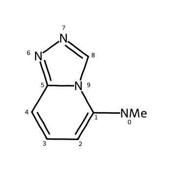 CNc1cccc2nncn12